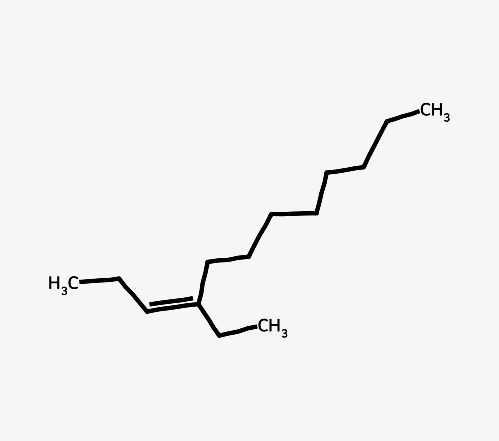 CCC=C(CC)CCCCCCCC